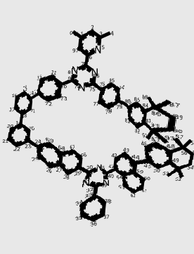 Cc1cc(C)nc(-c2nc(-c3ccc(-c4cccc(-c5cccc(-c6ccc7cc(-c8nc(-c9ccccc9)nc(-c9ccc(-c%10ccc%11c(c%10)C(C)(C)CCC%11(C)C)c%10ccccc9%10)n8)ccc7c6)c5)c4)cc3)nc(-c3ccc(-c4ccc5c(c4)C(C)(C)CCC5(C)C)cc3)n2)c1